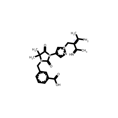 CC(=N)/C(Cn1cc(N2C(=O)N(Cc3cccc(C(=O)O)c3)C(C)(C)C2=O)cn1)=C(/C)P